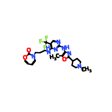 Cc1oc(C2CCN(C)CC2)nc1Nc1ncc(C(F)(F)F)c(NCCCN2C=CC=COC2=O)n1